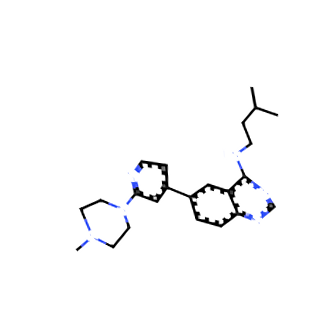 CC(C)CCNc1ncnc2ccc(-c3ccnc(N4CCN(C)CC4)c3)cc12